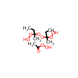 CC(=O)OO.CCC(C)(OO)OOC(C)(CC)OO